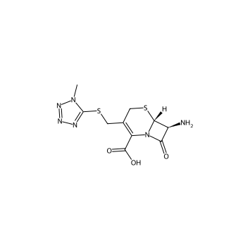 Cn1nnnc1SCC1=C(C(=O)O)N2C(=O)[C@H](N)[C@H]2SC1